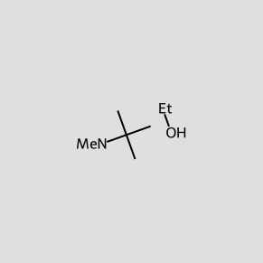 CCO.CNC(C)(C)C